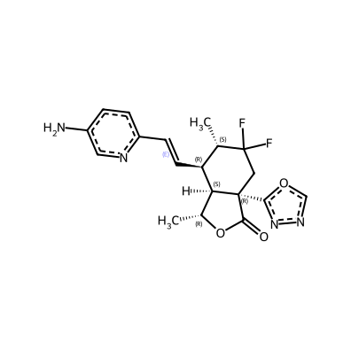 C[C@H]1OC(=O)[C@]2(c3nnco3)CC(F)(F)[C@@H](C)[C@H](/C=C/c3ccc(N)cn3)[C@H]12